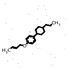 CC=CCOc1ccc(C2CCC(CCC)CC2)cc1